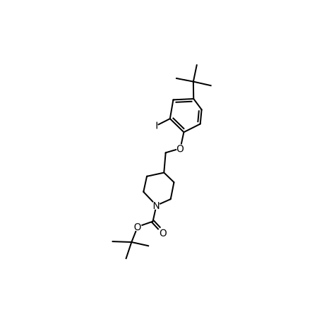 CC(C)(C)OC(=O)N1CCC(COc2ccc(C(C)(C)C)cc2I)CC1